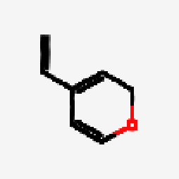 C=CC1=CCOC=C1